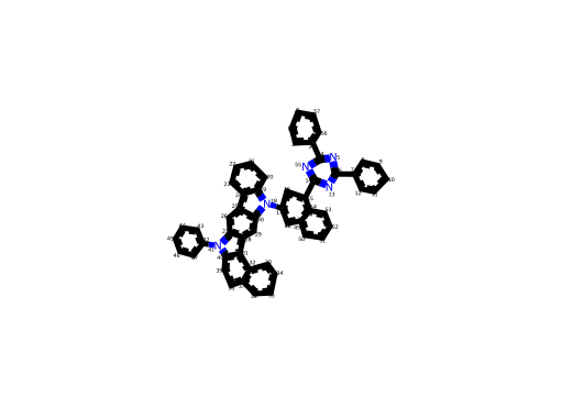 c1ccc(-c2nc(-c3ccccc3)nc(-c3cc(-n4c5ccccc5c5cc6c(cc54)c4c5ccccc5ccc4n6-c4ccccc4)cc4ccccc34)n2)cc1